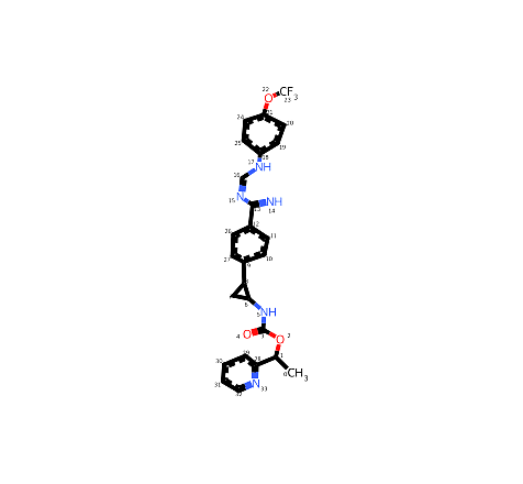 CC(OC(=O)NC1CC1c1ccc(C(=N)/N=C\Nc2ccc(OC(F)(F)F)cc2)cc1)c1ccccn1